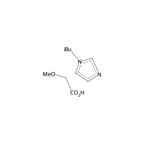 CCC(C)n1ccnc1.COCC(=O)O